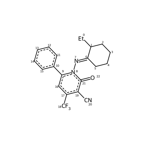 CCC1CCCCC1=Nn1c(-c2ccccc2)cc(C(F)(F)F)c(C#N)c1=O